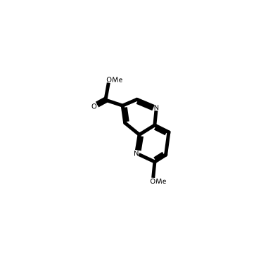 COC(=O)c1cnc2ccc(OC)nc2c1